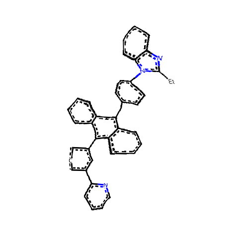 CCc1nc2ccccc2n1-c1ccc(-c2c3ccccc3c(-c3cccc(-c4ccccn4)c3)c3ccccc23)cc1